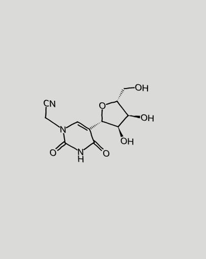 N#CCn1cc([C@@H]2O[C@H](CO)[C@@H](O)[C@H]2O)c(=O)[nH]c1=O